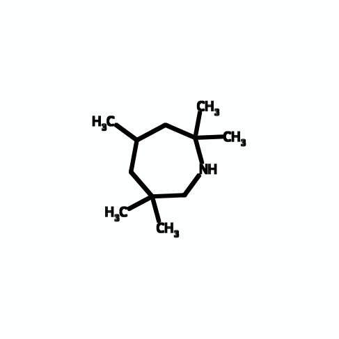 CC1CC(C)(C)CNC(C)(C)C1